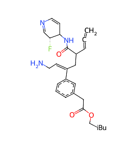 C=C=CC(C/C(=C/CN)c1cccc(CC(=O)OCC(C)CC)c1)C(=O)NC1C=CN=C[C@H]1F